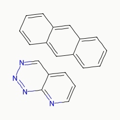 c1ccc2cc3ccccc3cc2c1.c1cnc2nnncc2c1